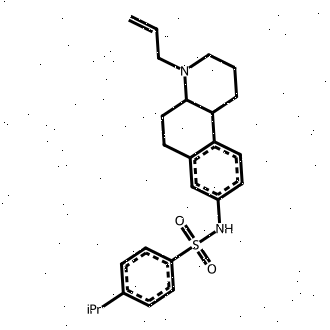 C=CCN1CCCC2c3ccc(NS(=O)(=O)c4ccc(C(C)C)cc4)cc3CCC21